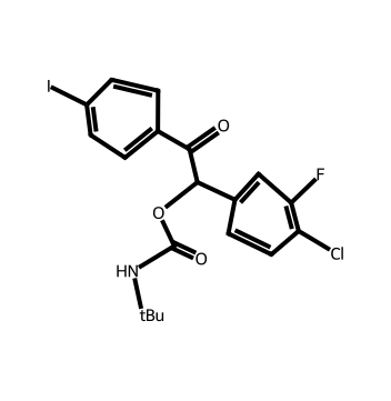 CC(C)(C)NC(=O)OC(C(=O)c1ccc(I)cc1)c1ccc(Cl)c(F)c1